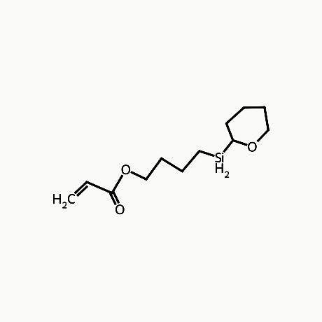 C=CC(=O)OCCCC[SiH2]C1CCCCO1